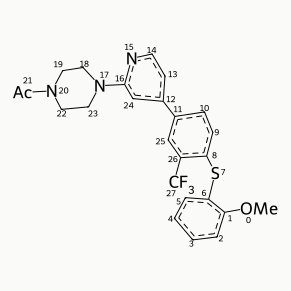 COc1ccccc1Sc1ccc(-c2ccnc(N3CCN(C(C)=O)CC3)c2)cc1C(F)(F)F